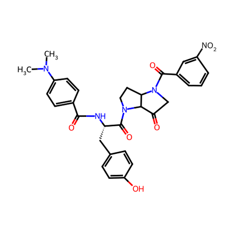 CN(C)c1ccc(C(=O)N[C@@H](Cc2ccc(O)cc2)C(=O)N2CCC3C2C(=O)CN3C(=O)c2cccc([N+](=O)[O-])c2)cc1